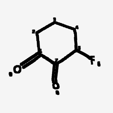 O=C1CCCC(F)C1=O